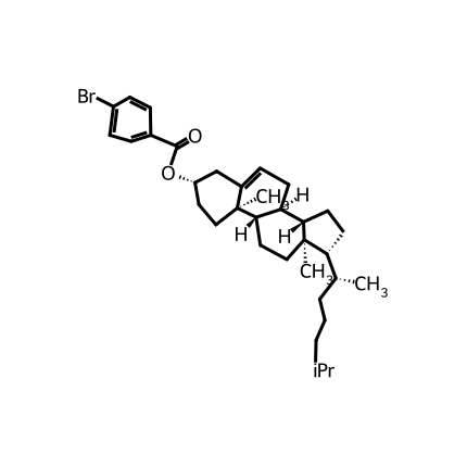 CC(C)CCC[C@@H](C)[C@H]1CC[C@H]2[C@@H]3CC=C4C[C@@H](OC(=O)c5ccc(Br)cc5)CC[C@]4(C)[C@H]3CC[C@]12C